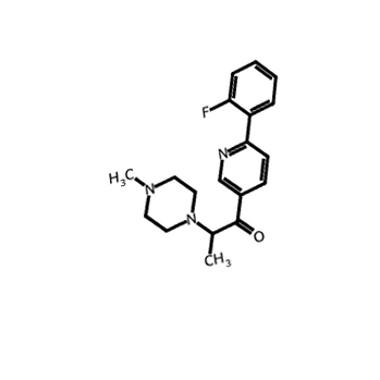 CC(C(=O)c1ccc(-c2ccccc2F)nc1)N1CCN(C)CC1